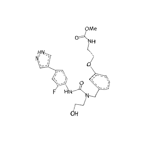 COC(=O)NCCOc1cccc(CN(CCO)C(=O)Nc2ccc(-c3cn[nH]c3)cc2F)c1